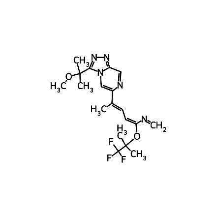 C=N/C(=C\C=C(/C)c1cn2c(C(C)(C)OC)nnc2cn1)OC(C)(C)C(F)(F)F